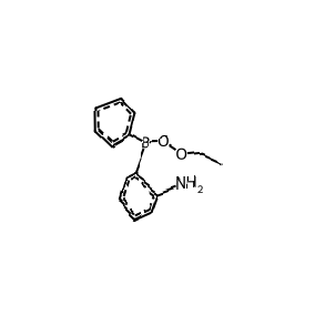 CCOOB(c1ccccc1)c1ccccc1N